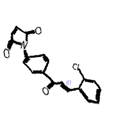 O=C(/C=C/c1ccccc1Cl)c1ccc(N2C(=O)C=CC2=O)cc1